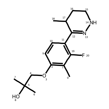 Cc1c(OCC(C)(C)O)ccc(C2=NNCCC2C)c1F